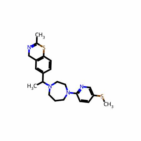 CSc1ccc(N2CCCN(C(C)c3ccc4c(c3)CN=C(C)S4)CC2)nc1